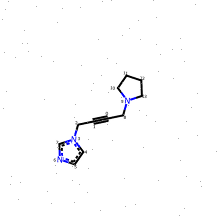 C(#CCn1ccnc1)CN1CCCC1